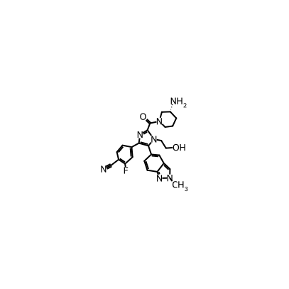 Cn1cc2cc(-c3c(-c4ccc(C#N)c(F)c4)nc(C(=O)N4CCC[C@@H](N)C4)n3CCO)ccc2n1